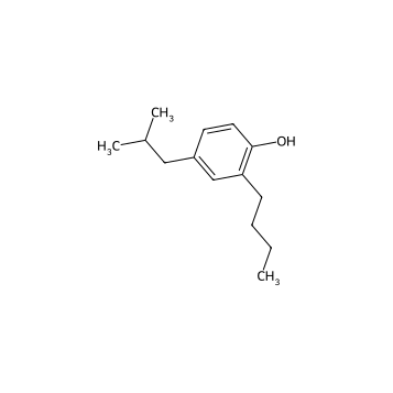 CCCCc1cc(CC(C)C)ccc1O